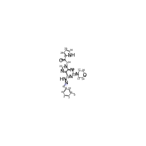 Cc1cccc(/C=N/Nc2nc(N3CCOCC3)nc3c2ncn3CC(=O)c2ccc[nH]2)c1